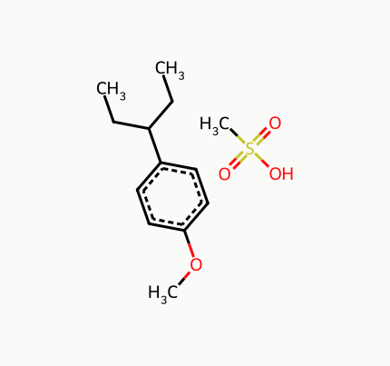 CCC(CC)c1ccc(OC)cc1.CS(=O)(=O)O